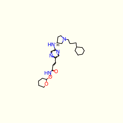 O=C(C=Cc1cnc(N[C@@H]2CCN(CCCC3CCCCC3)C2)cn1)NOC1CCCCO1